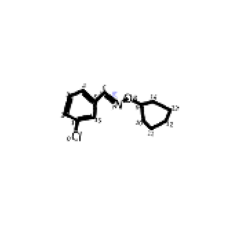 Clc1cccc(/[C]=N/OC2CCCCC2)c1